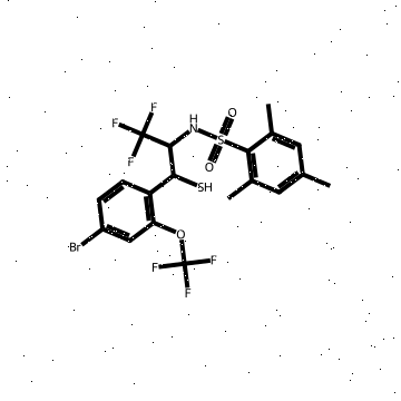 Cc1cc(C)c(S(=O)(=O)NC(C(S)c2ccc(Br)cc2OC(F)(F)F)C(F)(F)F)c(C)c1